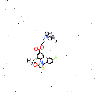 Cc1cc(C(=O)OCCCN(C)C)ccc1N1C(=O)CSC1c1ccc(F)cc1